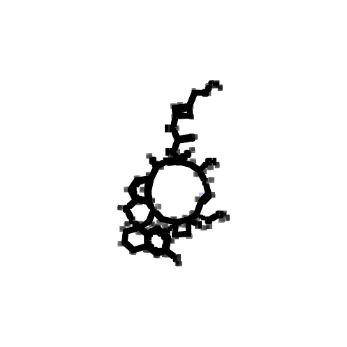 COCC12CC(NC(=O)NS3(=O)=NC(=O)c4ccc5c(c4)N(C[C@@H]4CC[C@H]4[C@@H](OC)/C=C/C[C@H](C)C3)C[C@@]3(CCCc4cc(Cl)ccc43)CO5)(C1)C2